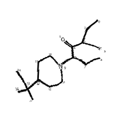 CCC(F)C(=O)C(CC)N1CCC(C(C)(C)C)CC1